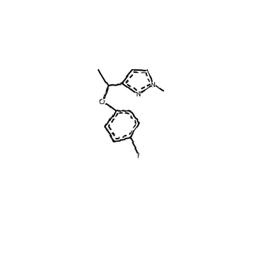 CC(Oc1ccc(I)cc1)c1ccn(C)n1